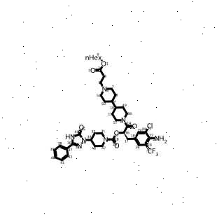 CCCCCCOC(=O)CCN1CCC(C2CCN(C(=O)[C@@H](Cc3cc(Cl)c(N)c(C(F)(F)F)c3)OC(=O)N3CCC(n4nc(-c5ccccc5)[nH]c4=O)CC3)CC2)CC1